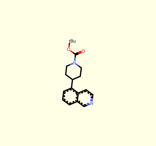 CC(C)(C)OC(=O)N1CCC(c2cccc3cnccc23)CC1